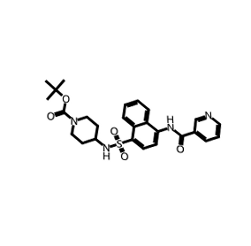 CC(C)(C)OC(=O)N1CCC(NS(=O)(=O)c2ccc(NC(=O)c3cccnc3)c3ccccc23)CC1